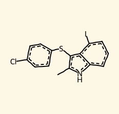 Cc1[nH]c2cccc(I)c2c1Sc1ccc(Cl)cc1